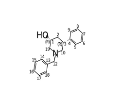 O[C@@H]1C[C@H](c2ccccc2)CN(Cc2ccccc2)C1